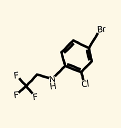 FC(F)(F)CNc1ccc(Br)cc1Cl